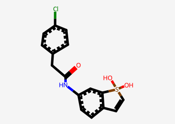 O=C(Cc1ccc(Cl)cc1)Nc1ccc2c(c1)S(O)(O)C=C2